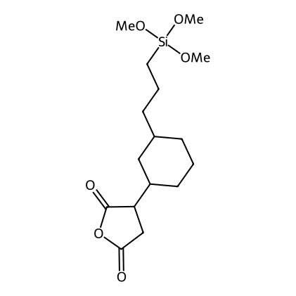 CO[Si](CCCC1CCCC(C2CC(=O)OC2=O)C1)(OC)OC